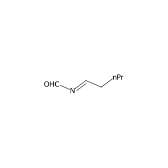 CCCCC=NC=O